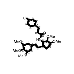 COc1cc(/C=C/c2ccc(OC)c(OC)c2NC(=O)/C=C/c2ccc(Cl)cc2)cc(OC)c1OC